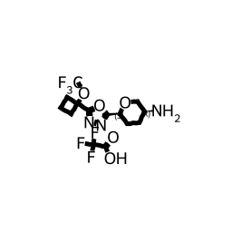 N[C@@H]1CC[C@@H](c2nnc(C3(OC(F)(F)F)CCC3)o2)OC1.O=C(O)C(F)(F)F